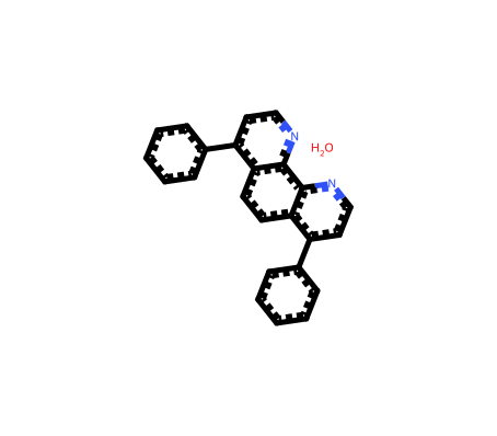 O.c1ccc(-c2ccnc3c2ccc2c(-c4ccccc4)ccnc23)cc1